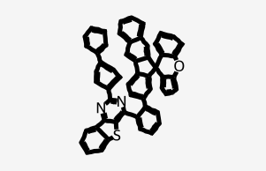 c1ccc(-c2ccc(-c3nc(-c4ccccc4-c4ccc5c(c4)C4(c6ccccc6Oc6ccccc64)c4cc6ccccc6cc4-5)c4sc5ccccc5c4n3)cc2)cc1